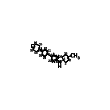 C[C@H]1CC[C@H](Nc2ncc(-c3ccc(N4CCOCC4)cc3)cn2)CC1